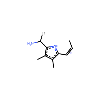 C/C=C\c1[nH]c(C(N)CC)c(C)c1C